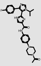 CC(=O)N1CCN(c2ccc(NC(=O)c3c[nH]c(-c4c(-c5ccc(F)cc5)ncn4C(C)C)n3)cc2)CC1